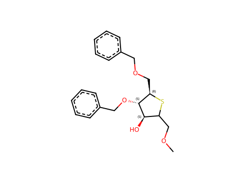 COCC1S[C@H](COCc2ccccc2)[C@@H](OCc2ccccc2)[C@@H]1O